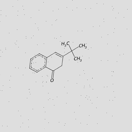 CC(C)(C)C1=Cc2ccccc2C(=O)C1